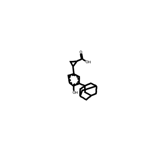 O=C(O)C1CC1c1ccc(O)c(C23CC4CC(CC(C4)C2)C3)c1